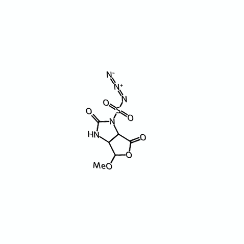 COC1OC(=O)C2C1NC(=O)N2S(=O)(=O)N=[N+]=[N-]